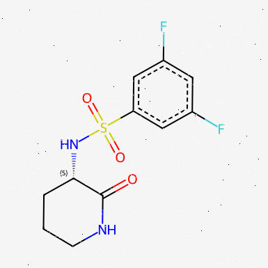 O=C1NCCC[C@@H]1NS(=O)(=O)c1cc(F)cc(F)c1